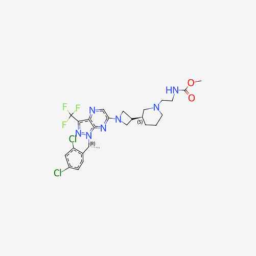 COC(=O)NCCN1CCC[C@@H](C2CN(c3cnc4c(C(F)(F)F)nn([C@H](C)c5ccc(Cl)cc5Cl)c4n3)C2)C1